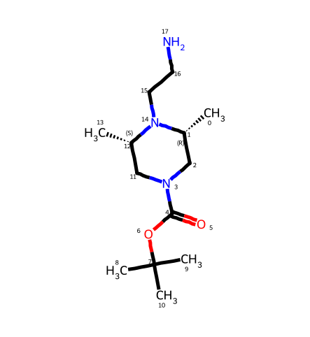 C[C@@H]1CN(C(=O)OC(C)(C)C)C[C@H](C)N1CCN